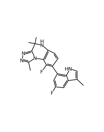 Cc1c[nH]c2c(-c3ccc4c(c3F)-n3c(C)nnc3C(C)(C)N4)cc(F)cc12